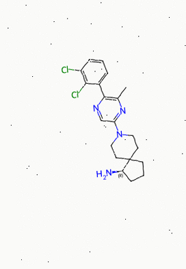 Cc1nc(N2CCC3(CCC[C@H]3N)CC2)cnc1-c1cccc(Cl)c1Cl